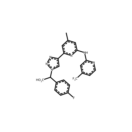 Cc1cc(Nc2cc(C(F)(F)F)ccn2)nc(-c2cn(C(C(=O)O)c3ccc(F)cc3)nn2)c1